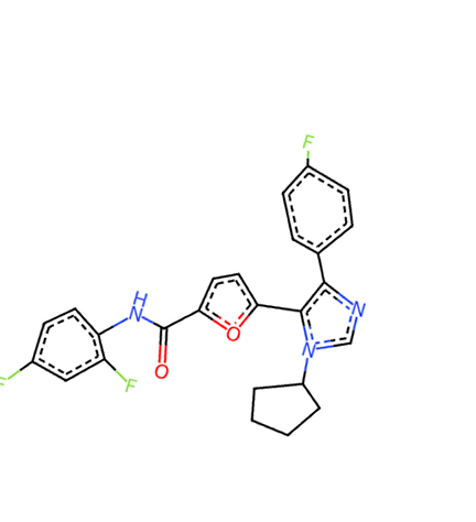 O=C(Nc1ccc(F)cc1F)c1ccc(-c2c(-c3ccc(F)cc3)ncn2C2CCCC2)o1